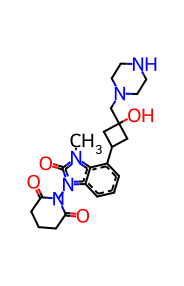 Cn1c(=O)n(N2C(=O)CCCC2=O)c2cccc(C3CC(O)(CN4CCNCC4)C3)c21